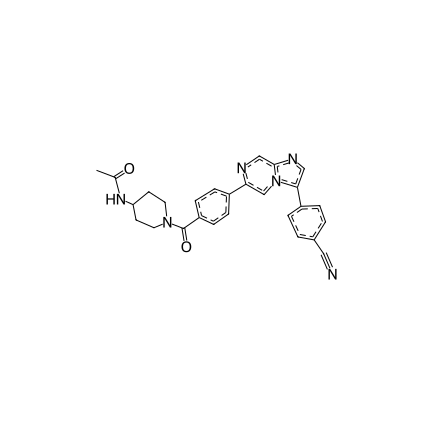 CC(=O)NC1CCN(C(=O)c2ccc(-c3cn4c(-c5ccc(C#N)cc5)cnc4cn3)cc2)CC1